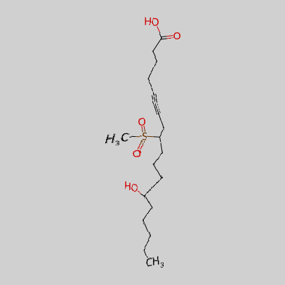 CCCCCC(O)CCCC(CC#CCCCC(=O)O)S(C)(=O)=O